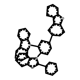 c1ccc(-c2nc3ccccc3n2-c2ccc(-c3ccc4oc5ccccc5c4c3)cc2-n2c3ccccc3c3ccccc32)cc1